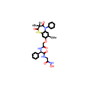 CCCCC1(CC)C(=O)[SH]c2cc(OCC(=O)N[C@@H](C(=O)NCC(=O)NO)c3ccccc3)c(SC)cc2N(c2ccccc2)C1=O